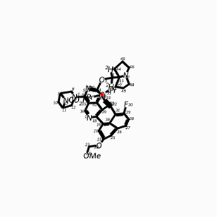 [2H]C([2H])(Oc1nc(N2CC3CC(C2)N3C(=O)O)c2cnc(-c3cc(OCOC)cc4ccc(F)c(C#C[Si](C(C)C)(C(C)C)C(C)C)c34)c(F)c2n1)C12CCCN1CCC2